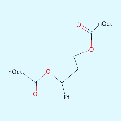 CCCCCCCCC(=O)OCCC(CC)OC(=O)CCCCCCCC